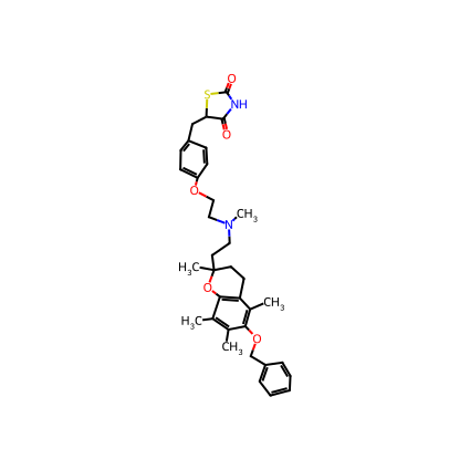 Cc1c(C)c2c(c(C)c1OCc1ccccc1)CCC(C)(CCN(C)CCOc1ccc(CC3SC(=O)NC3=O)cc1)O2